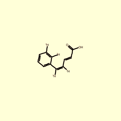 [3H]C(C=CC(=O)O)=C([3H])c1cccc([3H])c1[3H]